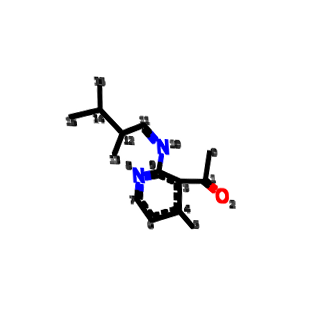 CC(=O)c1c(C)ccnc1/N=C\C(C)C(C)C